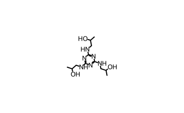 CC(O)CNc1nc(NCC(C)O)nc(NCC(C)O)n1